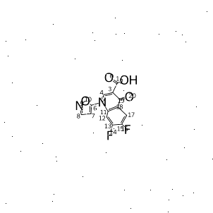 O=C(O)c1cn(-c2ccno2)c2cc(F)c(F)cc2c1=O